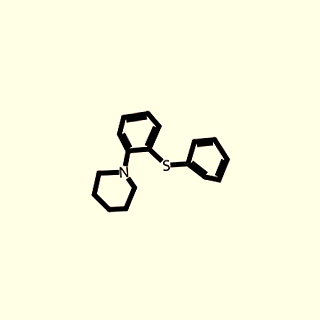 c1ccc(Sc2ccccc2N2CCCCC2)cc1